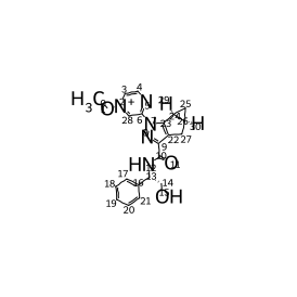 CO[n+]1ccnc(-n2nc(C(=O)N[C@H](CO)c3ccccc3)c3c2[C@H]2C[C@H]2C3)c1